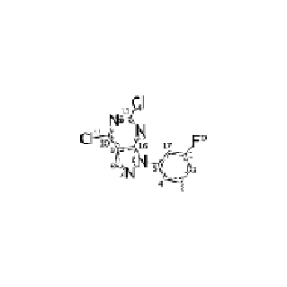 Fc1cccc(-n2ncc3c(Cl)nc(Cl)nc32)c1